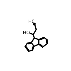 C#CCC(O)C1c2ccccc2-c2ccccc21